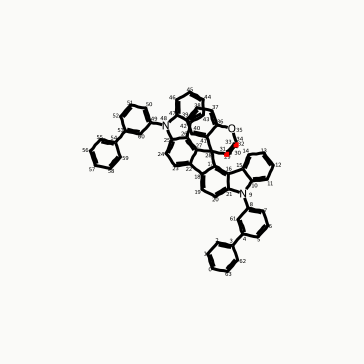 c1ccc(-c2cccc(-n3c4ccccc4c4c5c(ccc43)-c3ccc4c(c3C53c5ccccc5Oc5ccccc53)c3ccccc3n4-c3cccc(-c4ccccc4)c3)c2)cc1